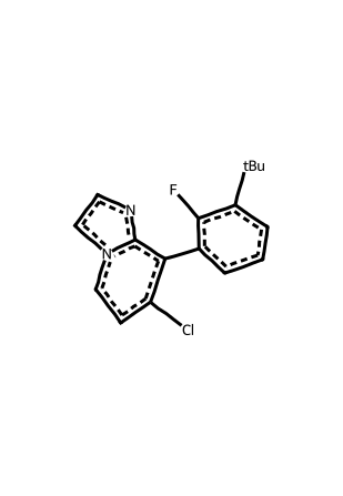 CC(C)(C)c1cccc(-c2c(Cl)ccn3ccnc23)c1F